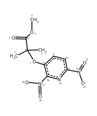 COC(=O)C(C)(C)Oc1ccc([N+](=O)[O-])nc1[N+](=O)[O-]